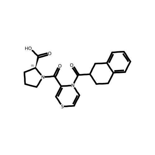 O=C(O)[C@@H]1CCCN1C(=O)C1=CSC=CN1C(=O)C1CCc2ccccc2C1